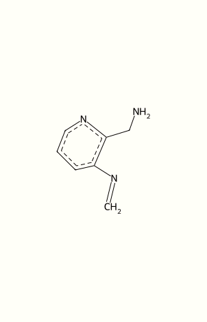 C=Nc1cccnc1CN